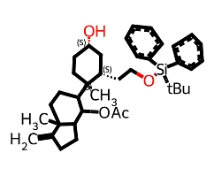 C=C1CCC2C(OC(C)=O)C([C@@]3(C)CC[C@H](O)C[C@@H]3CCO[Si](c3ccccc3)(c3ccccc3)C(C)(C)C)CCC12C